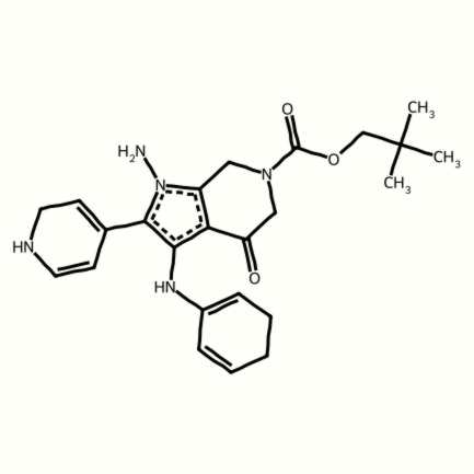 CC(C)(C)COC(=O)N1CC(=O)c2c(NC3=CCCC=C3)c(C3=CCNC=C3)n(N)c2C1